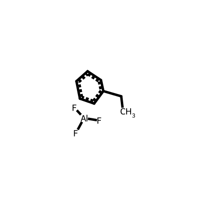 CCc1ccccc1.[F][Al]([F])[F]